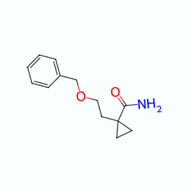 NC(=O)C1(CCOCc2ccccc2)CC1